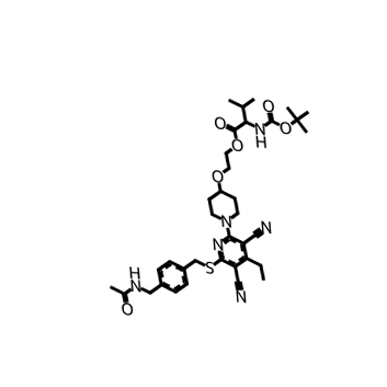 CCc1c(C#N)c(SCc2ccc(CNC(C)=O)cc2)nc(N2CCC(OCCOC(=O)C(NC(=O)OC(C)(C)C)C(C)C)CC2)c1C#N